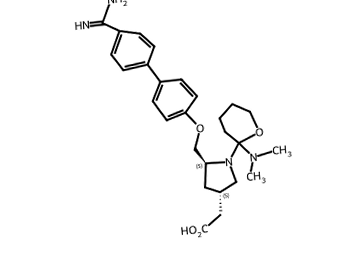 CN(C)C1(N2C[C@H](CC(=O)O)C[C@H]2COc2ccc(-c3ccc(C(=N)N)cc3)cc2)CCCCO1